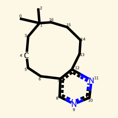 CC1(C)CCCCc2cncnc2CCCC1